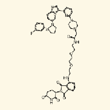 O=C(CN1CCN(c2cccc(-c3cnc4ccc(N5CCC[C@@H]5c5cccc(F)c5)cn34)n2)CC1)NCCOCCOCCNc1cccc2c1C(=O)N(C1CCC(=O)NC1=O)C2=O